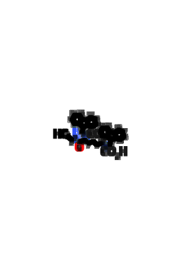 C#CCNC(=O)[C@H](CCCCN(CC1c2ccccc2-c2ccccc21)C(=O)O)N(CC1c2ccccc2-c2ccccc21)C(=O)O